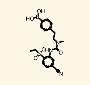 CCS(=O)(=O)c1ccc(C#N)cc1NC(=O)N(C)CCc1ccc(B(O)O)cc1